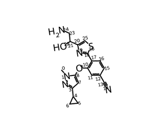 Cn1nc(C2CC2)cc1Oc1cc(C#N)ccc1-c1nc(C(O)CN)cs1